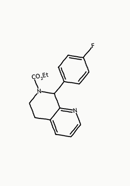 CCOC(=O)N1CCc2cccnc2C1c1ccc(F)cc1